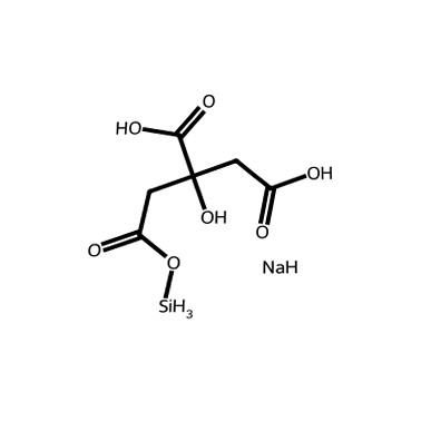 O=C(O)CC(O)(CC(=O)O[SiH3])C(=O)O.[NaH]